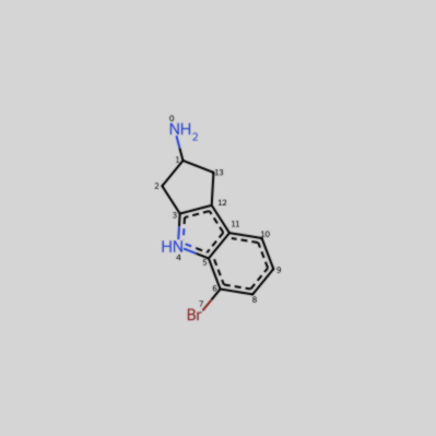 NC1Cc2[nH]c3c(Br)cccc3c2C1